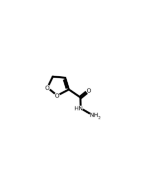 NNC(=O)C1=CCOO1